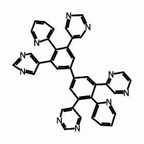 c1ccc(-c2c(-c3cncnc3)cc(-c3cc(-c4cncnc4)c(-c4ccccn4)c(-c4cnccn4)c3)cc2-c2cncnc2)nc1